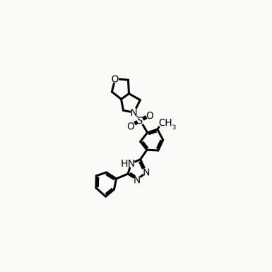 Cc1ccc(-c2nnc(-c3ccccc3)[nH]2)cc1S(=O)(=O)N1CC2COCC2C1